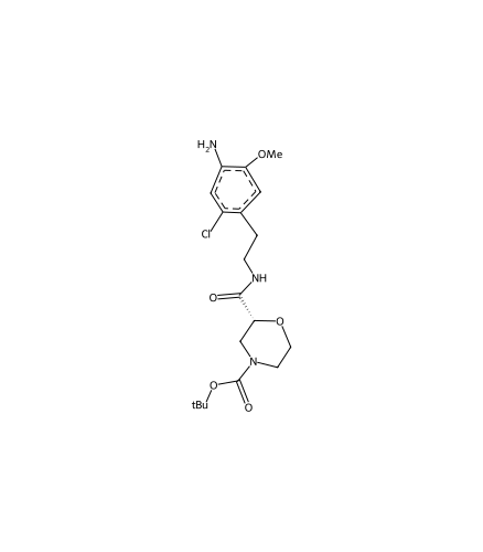 COc1cc(CCNC(=O)[C@H]2CN(C(=O)OC(C)(C)C)CCO2)c(Cl)cc1N